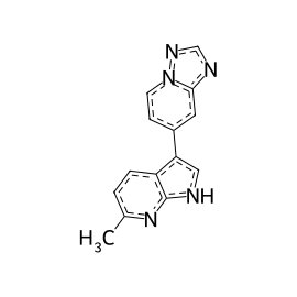 Cc1ccc2c(-c3ccn4ncnc4c3)c[nH]c2n1